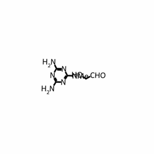 CNc1nc(N)nc(N)n1.O=CCO